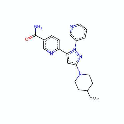 COC1CCN(c2cc(-c3ccc(C(N)=O)cn3)n(-c3cccnc3)n2)CC1